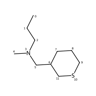 CCCN(C)CC1CCCSC1